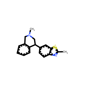 Cc1nc2ccc(C3CN(C)Cc4ccccc43)cc2s1